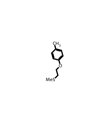 CSCCOc1ccc(C)cc1